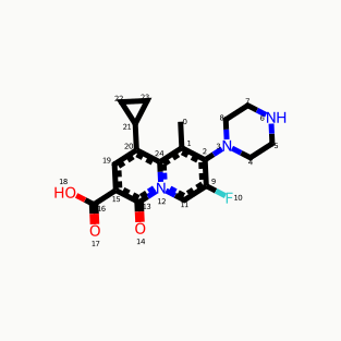 Cc1c(N2CCNCC2)c(F)cn2c(=O)c(C(=O)O)cc(C3CC3)c12